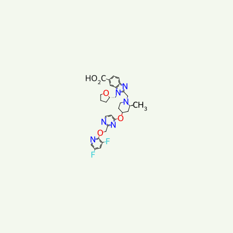 C[C@H]1C[C@@H](Oc2ccnc(COc3ncc(F)cc3F)n2)CCN1Cc1nc2ccc(C(=O)O)cc2n1C[C@@H]1CCCO1